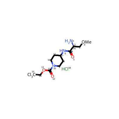 COC[C@H](N)C(=O)NC1CCN(C(=O)OCC(Cl)(Cl)Cl)CC1.Cl